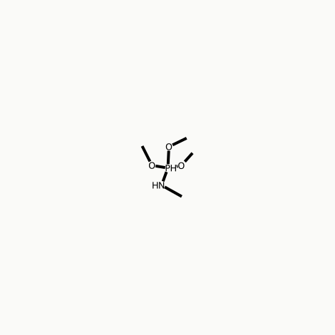 CN[PH](OC)(OC)OC